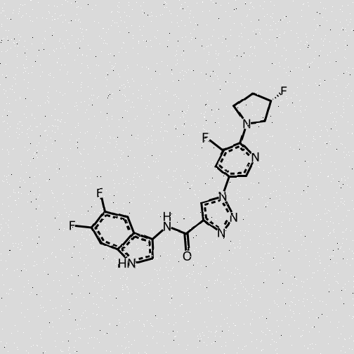 O=C(Nc1c[nH]c2cc(F)c(F)cc12)c1cn(-c2cnc(N3CC[C@H](F)C3)c(F)c2)nn1